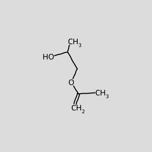 C=C(C)OCC(C)O